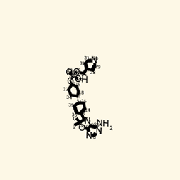 CC1(C)Oc2ncnc(N)c2N=C1C1=CCC([C@H]2CC[C@H](OP(=O)(O)OCc3ccncc3)CC2)C=C1